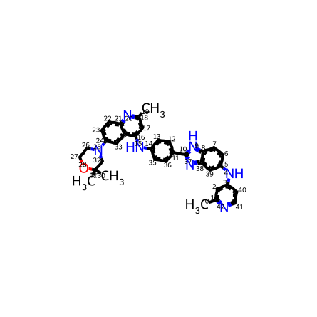 Cc1cc(Nc2ccc3[nH]c(-c4ccc(Nc5cc(C)nc6ccc(N7CCOC(C)(C)C7)cc56)cc4)nc3c2)ccn1